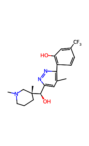 Cc1cc([C@@H](O)[C@]2(C)CCCN(C)C2)nnc1-c1ccc(C(F)(F)F)cc1O